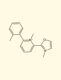 Cc1ccccc1-c1cccc(-c2occ[n+]2C)[n+]1C